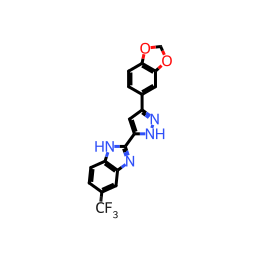 FC(F)(F)c1ccc2[nH]c(-c3cc(-c4ccc5c(c4)OCO5)n[nH]3)nc2c1